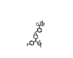 Cc1csc(C(=C2CCN(Cc3cccc(C(=O)N4CCC4(C)C)c3)CC2)c2ccc(F)cc2)c1